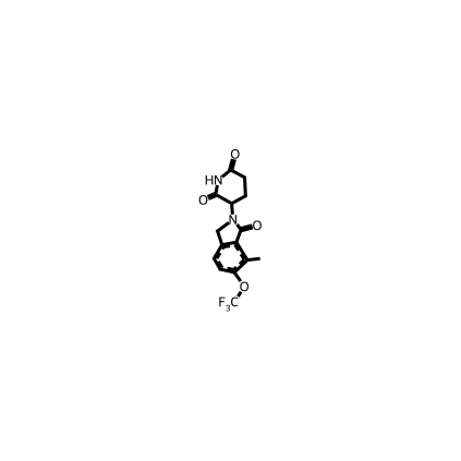 Cc1c(OC(F)(F)F)ccc2c1C(=O)N(C1CCC(=O)NC1=O)C2